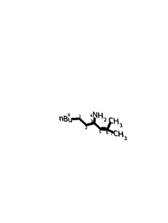 CCCCCCC(N)C=C(C)C